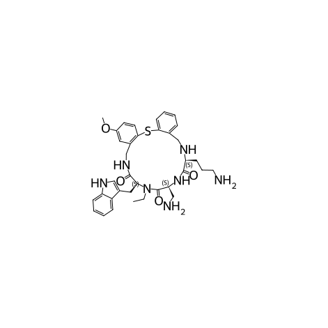 CCN1C(=O)[C@H](CN)NC(=O)[C@H](CCCN)NCc2ccccc2Sc2ccc(OC)cc2CNC(=O)[C@@H]1Cc1c[nH]c2ccccc12